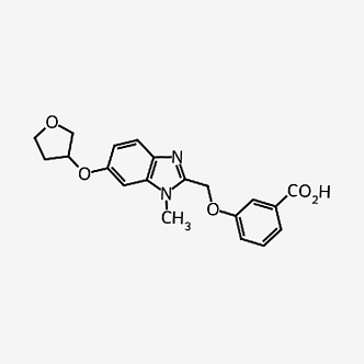 Cn1c(COc2cccc(C(=O)O)c2)nc2ccc(OC3CCOC3)cc21